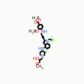 COC[C@H](O)CN1CC[C@H](Nc2cccc3c2cc(C#CCNc2ccc(C(=O)OC)cc2OC)n3CC(F)(F)F)[C@@H](F)C1